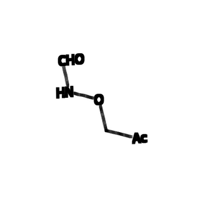 CC(=O)CONC=O